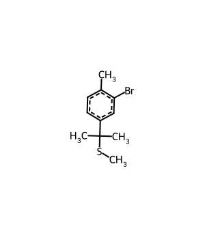 CSC(C)(C)c1ccc(C)c(Br)c1